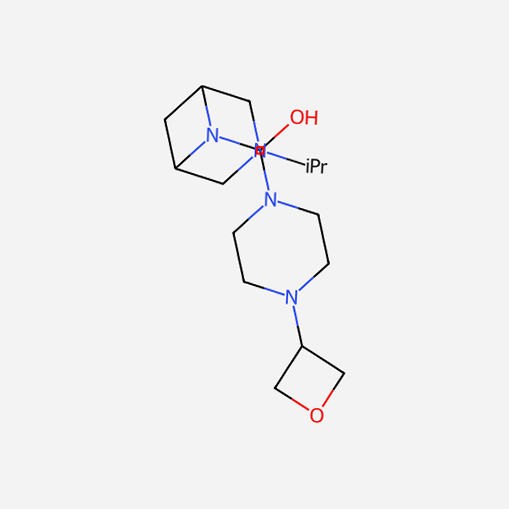 CC(C)N1CC2CC(C1)N2C(O)N1CCN(C2COC2)CC1